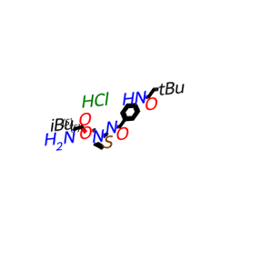 CC[C@H](C)[C@H](N)C(=O)OCn1ccsc1=NC(=O)c1ccc(NC(=O)CC(C)(C)C)cc1.Cl